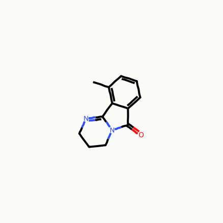 Cc1cccc2c1C1=NCCCN1C2=O